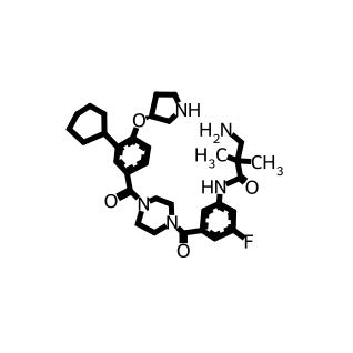 CC(C)(CN)C(=O)Nc1cc(F)cc(C(=O)N2CCN(C(=O)c3ccc(O[C@H]4CCNC4)c(C4CCCCC4)c3)CC2)c1